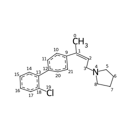 C/C(=C/CN1CCCC1)c1ccc(-c2ccccc2Cl)cc1